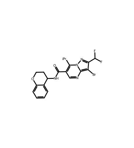 CC(C)c1c(C(=O)NC2CCOc3ccccc32)cnc2c(Br)c(C(F)F)nn12